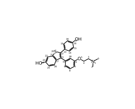 CN(C)CCOc1cc[c]c(-c2c(-c3ccc(O)cc3)sc3cc(O)ccc23)c1